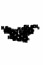 COc1cccc(CNC2(CCC(C)(C)C)C(=O)C(C3=NS(O)(O)c4cc(NS(C)(=O)=O)ccc4N3)=C(O)c3ccccc32)c1